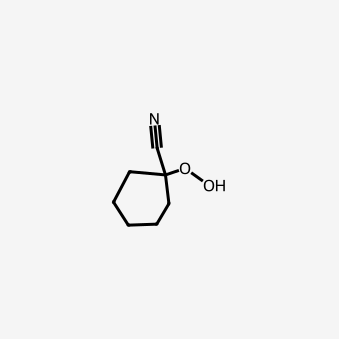 N#CC1(OO)CCCCC1